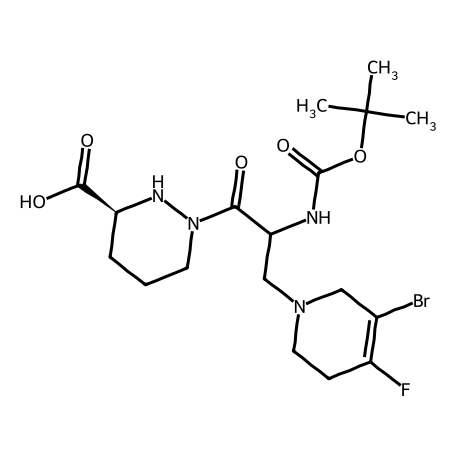 CC(C)(C)OC(=O)NC(CN1CCC(F)=C(Br)C1)C(=O)N1CCC[C@@H](C(=O)O)N1